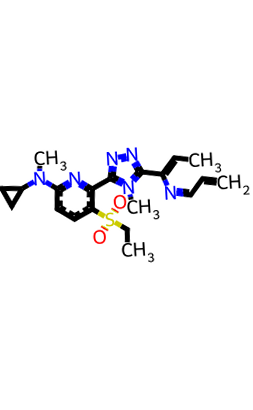 C=C/C=N\C(=C/C)c1nnc(-c2nc(N(C)C3CC3)ccc2S(=O)(=O)CC)n1C